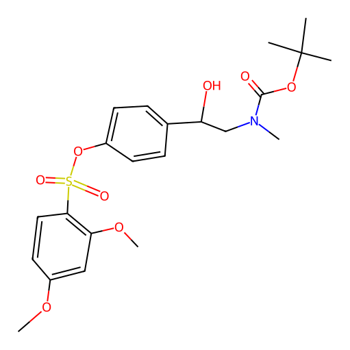 COc1ccc(S(=O)(=O)Oc2ccc(C(O)CN(C)C(=O)OC(C)(C)C)cc2)c(OC)c1